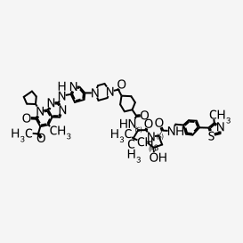 CC(=O)c1c(C)c2cnc(Nc3ccc(N4CCN(C(=O)C5CCC(C(=O)N[C@H](C(=O)N6C[C@H](O)C[C@H]6C(=O)NCc6ccc(-c7scnc7C)cc6)C(C)(C)C)CC5)CC4)cn3)nc2n(C2CCCC2)c1=O